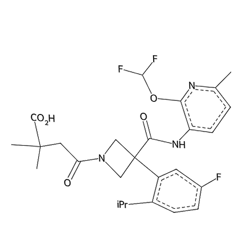 Cc1ccc(NC(=O)C2(c3cc(F)ccc3C(C)C)CN(C(=O)CC(C)(C)C(=O)O)C2)c(OC(F)F)n1